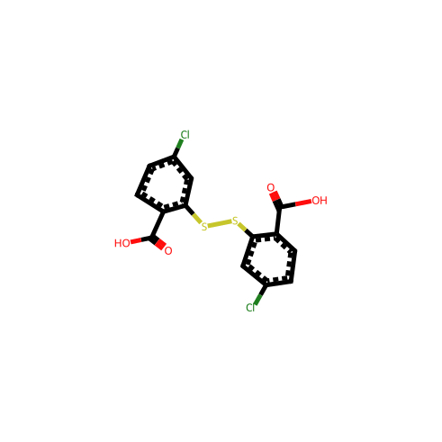 O=C(O)c1ccc(Cl)cc1SSc1cc(Cl)ccc1C(=O)O